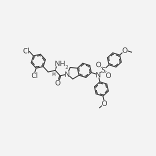 COc1ccc(N(c2ccc3c(c2)CN(C(=O)[C@H](N)Cc2ccc(Cl)cc2Cl)C3)S(=O)(=O)c2ccc(OC)cc2)cc1